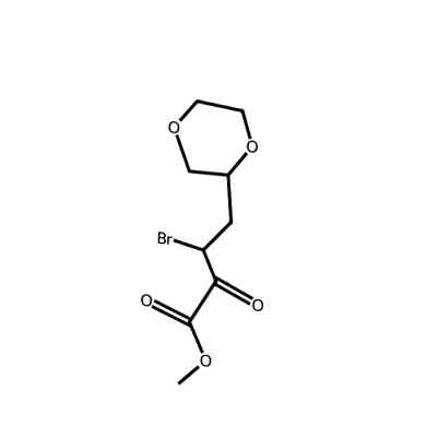 COC(=O)C(=O)C(Br)CC1COCCO1